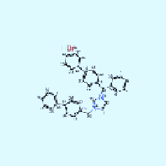 Br.C1=CN(C(c2ccccc2)c2ccc(-c3ccccc3)cc2)CN1Cc1ccc(-c2ccccc2)cc1